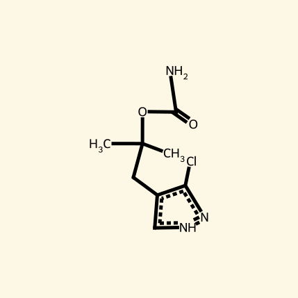 CC(C)(Cc1c[nH]nc1Cl)OC(N)=O